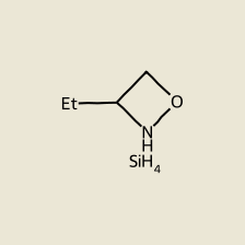 CCC1CON1.[SiH4]